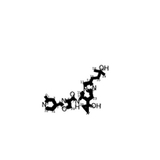 Cc1cc(-c2nc(C(=O)Nc3cn4cc(CCC(C)(C)O)nc4cc3C3(O)CC3)co2)ccn1